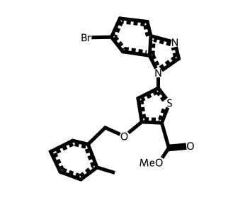 COC(=O)c1sc(-n2cnc3ccc(Br)cc32)cc1OCc1ccccc1C